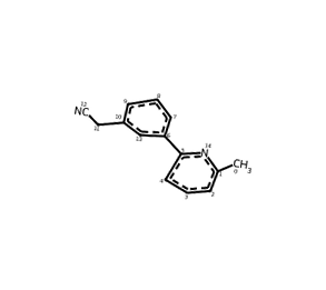 Cc1cccc(-c2cccc(CC#N)c2)n1